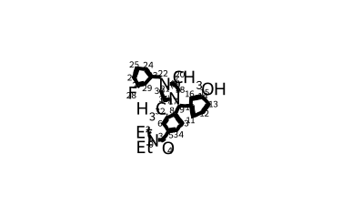 CCN(CC)C(=O)c1ccc(C(c2cccc(O)c2)N2C[C@@H](C)N(Cc3cccc(F)c3)C[C@@H]2C)cc1